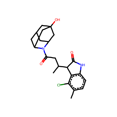 Cc1ccc2c(c1Cl)C(C(C)CC(=O)N1C3CC4CC1CC(O)(C4)C3)C(=O)N2